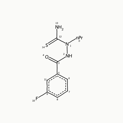 CCCN(NC(=O)c1cccc(F)c1)C(N)=S